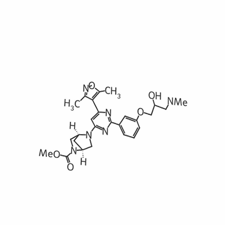 CNCC(O)COc1cccc(-c2nc(-c3c(C)noc3C)cc(N3C[C@@H]4C[C@H]3CN4C(=O)OC)n2)c1